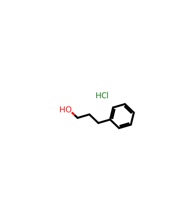 Cl.OCCCc1ccccc1